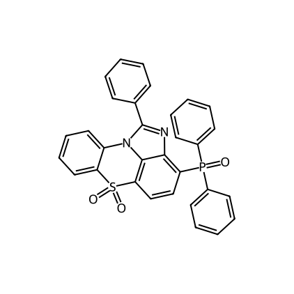 O=P(c1ccccc1)(c1ccccc1)c1ccc2c3c1nc(-c1ccccc1)n3-c1ccccc1S2(=O)=O